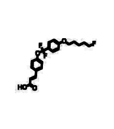 O=C(O)/C=C/c1ccc(OC(F)(F)c2ccc(OCCCCCF)cc2)cc1